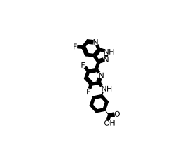 O=C(O)[C@@H]1CCC[C@H](Nc2nc(-c3n[nH]c4ncc(F)cc34)c(F)cc2F)C1